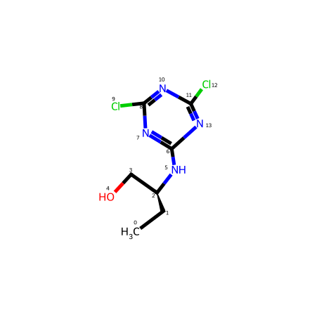 CC[C@@H](CO)Nc1nc(Cl)nc(Cl)n1